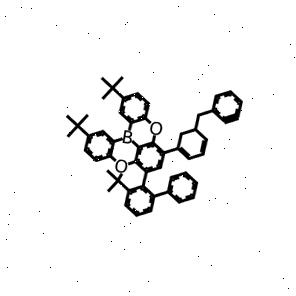 CC(C)(C)c1ccc2c(c1)B1c3cc(C(C)(C)C)ccc3Oc3c(-c4c(-c5ccccc5)cccc4C(C)(C)C)cc(C4=CC=CC(Cc5c#cccc5)C4)c(c31)O2